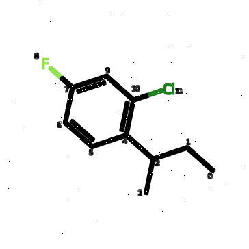 CCC(C)c1ccc(F)cc1Cl